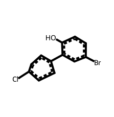 Oc1ccc(Br)cc1-c1ccc(Cl)cc1